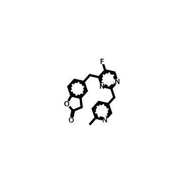 Cc1ccc(Cc2ncc(F)c(Cc3ccc4c(c3)CC(=O)O4)n2)cn1